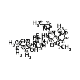 CCOC(=O)C1=C(CN2CC(F)(F)[C@H]3[C@@H]2CCN3CC(C)(O)C(=O)OC(C)(C)C)NC(c2nc(C)cs2)=N[C@H]1c1cccc(F)c1C